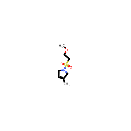 COCCS(=O)(=O)N1CC=C(C)C1